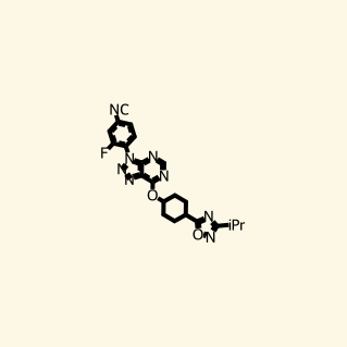 [C-]#[N+]c1ccc(-n2nnc3c(OC4CCC(c5nc(C(C)C)no5)CC4)ncnc32)c(F)c1